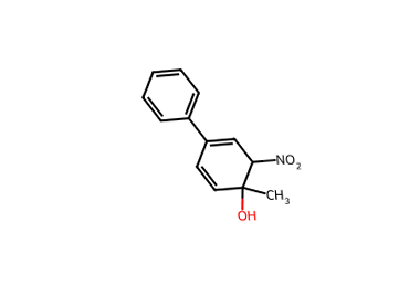 CC1(O)C=CC(c2ccccc2)=CC1[N+](=O)[O-]